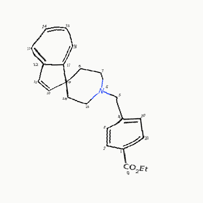 CCOC(=O)c1ccc(CN2CCC3(C=Cc4ccccc43)CC2)cc1